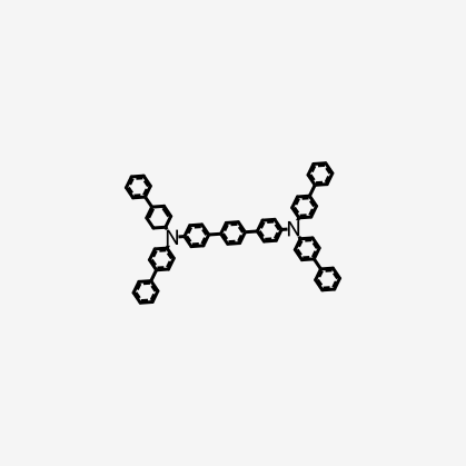 C1=CC(N(c2ccc(-c3ccccc3)cc2)c2ccc(-c3ccc(-c4ccc(N(c5ccc(-c6ccccc6)cc5)c5ccc(-c6ccccc6)cc5)cc4)cc3)cc2)CC=C1c1ccccc1